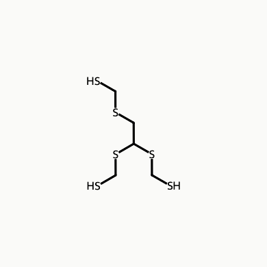 SCSCC(SCS)SCS